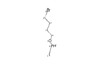 BrCCCCOPI